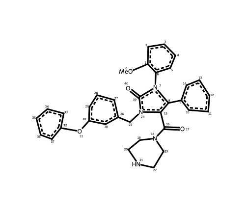 COc1ccccc1-n1c(-c2ccccc2)c(C(=O)N2CCNCC2)n(Cc2cccc(Oc3ccccc3)c2)c1=O